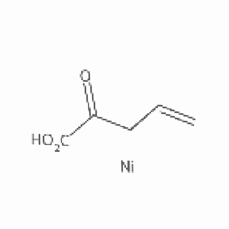 C=CCC(=O)C(=O)O.[Ni]